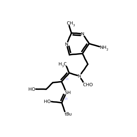 C/C(=C(CCO)/[SH]=C(\O)C(C)(C)C)N(C=O)Cc1cnc(C)nc1N